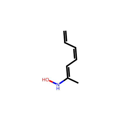 C=C/C=C\C=C(/C)NO